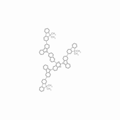 CC1(C)c2ccccc2-c2ccc(-c3ccc4c(c3)c3ccccc3n4-c3ccc4cc(-c5nc(-n6c7ccccc7c7cc(-c8ccc9c(c8)C(C)(C)c8ccccc8-9)ccc76)nc6ccc(-n7c8ccccc8c8cc(-c9ccc%10c(c9)C(C)(C)c9ccccc9-%10)ccc87)cc56)ccc4c3)cc21